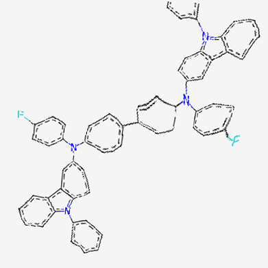 Fc1ccc(N(c2ccc(C3=CCC(N(c4ccc(F)cc4)c4ccc5c(c4)c4ccccc4n5-c4ccccc4)C=C3)cc2)c2ccc3c(c2)c2ccccc2n3-c2ccccc2)cc1